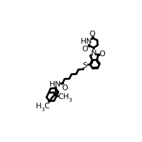 CC12CC3CC(C)(C1)CC(NC(=O)CCCCCCSc1cccc4c1CN(C1CCC(=O)NC1=O)C4=O)(C3)C2